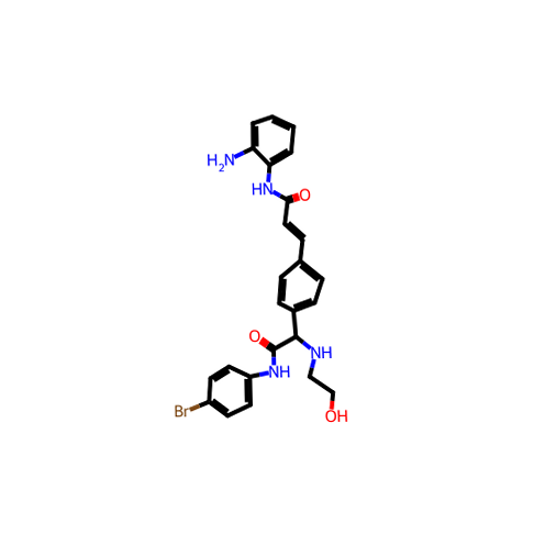 Nc1ccccc1NC(=O)C=Cc1ccc(C(NCCO)C(=O)Nc2ccc(Br)cc2)cc1